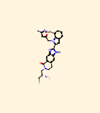 COc1cccc2cc(-c3nc4cc5c(cc4n3C)CCN(C[C@H](N)CF)C5=O)n(Cc3cc(C)no3)c12